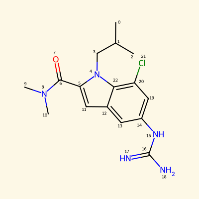 CC(C)Cn1c(C(=O)N(C)C)cc2cc(NC(=N)N)cc(Cl)c21